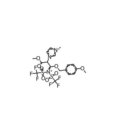 COC(=O)C(C(OCc1ccc(OC)cc1)=[N+](S(=O)(=O)C(F)(F)F)S(=O)(=O)C(F)(F)F)n1cc[n+](C)c1